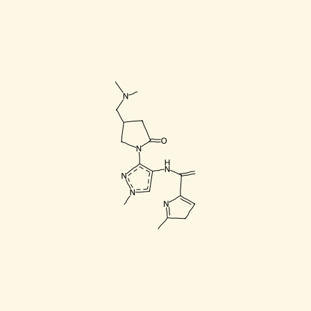 C=C(Nc1cn(C)nc1N1CC(CN(C)C)CC1=O)C1=CCC(C)=N1